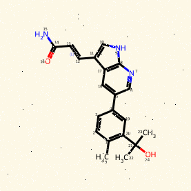 Cc1ccc(-c2cnc3[nH]cc(/C=C/C(N)=O)c3c2)cc1C(C)(C)O